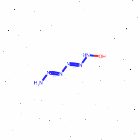 N/N=N/N=N/NO